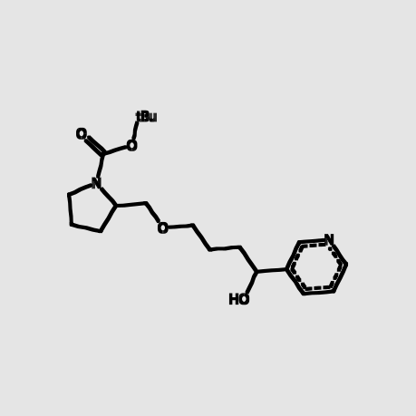 CC(C)(C)OC(=O)N1CCCC1COCCCC(O)c1cccnc1